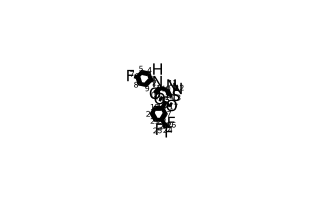 O=C(Nc1ccc(F)cc1)c1nnsc1S(=O)(=O)c1cccc(C(F)(F)F)c1